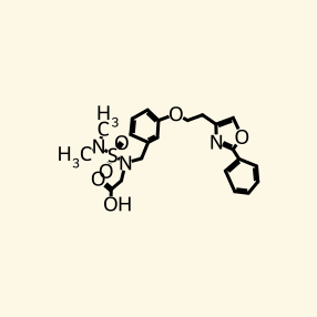 CN(C)S(=O)(=O)N(CC(=O)O)Cc1cccc(OCCc2coc(-c3ccccc3)n2)c1